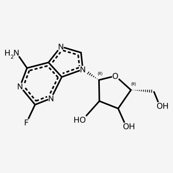 Nc1nc(F)nc2c1ncn2[C@@H]1O[C@H](CO)C(O)C1O